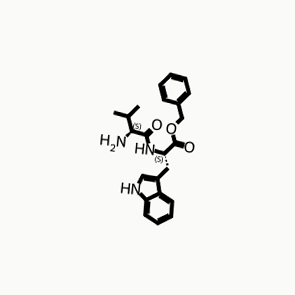 CC(C)[C@H](N)C(=O)N[C@@H](Cc1c[nH]c2ccccc12)C(=O)OCc1ccccc1